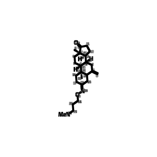 C=C1C[C@@H]2[C@@H](CC[C@]3(C)C(=O)CC[C@@H]23)[C@@]2(C)CCC(=NOCCCNC)CC12